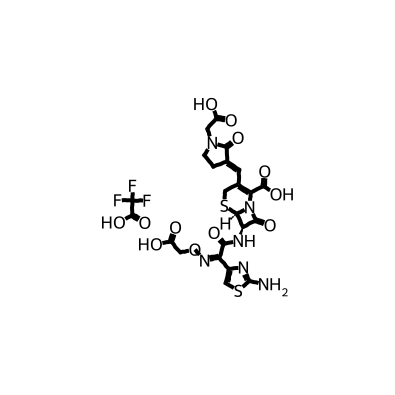 Nc1nc(/C(=N/OCC(=O)O)C(=O)N[C@@H]2C(=O)N3C(C(=O)O)=C(/C=C4\CCN(CC(=O)O)C4=O)CS[C@H]23)cs1.O=C(O)C(F)(F)F